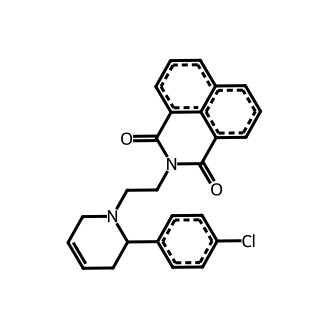 O=C1c2cccc3cccc(c23)C(=O)N1CCN1CC=CCC1c1ccc(Cl)cc1